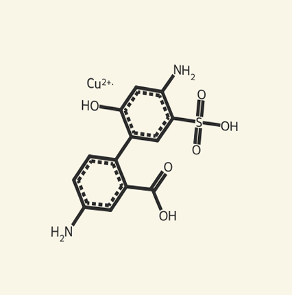 Nc1ccc(-c2cc(S(=O)(=O)O)c(N)cc2O)c(C(=O)O)c1.[Cu+2]